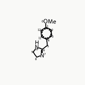 COc1ccc(CC2=NCCN2)cc1